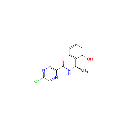 C[C@@H](NC(=O)c1cnc(Cl)cn1)c1ccccc1O